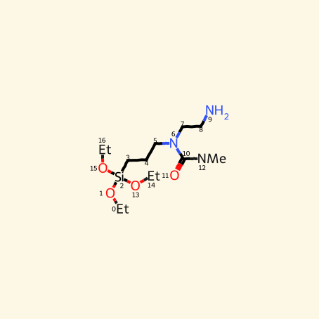 CCO[Si](CCCN(CCN)C(=O)NC)(OCC)OCC